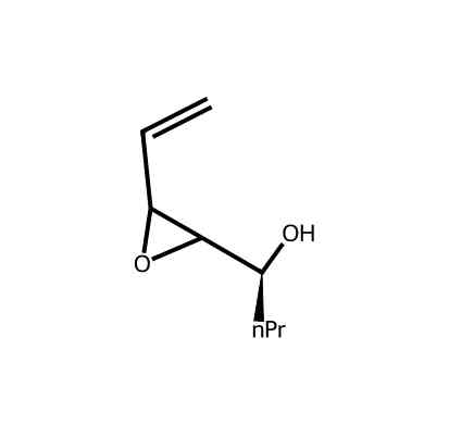 C=CC1OC1[C@@H](O)CCC